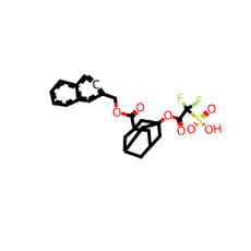 O=C(OCc1ccc2ccccc2c1)C12CC3CC(CC(OC(=O)C(F)(F)S(=O)(=O)O)(C3)C1)C2